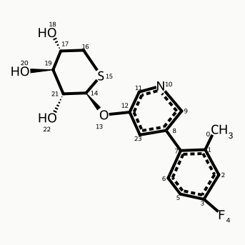 Cc1cc(F)ccc1-c1cncc(O[C@@H]2SC[C@@H](O)[C@H](O)[C@H]2O)c1